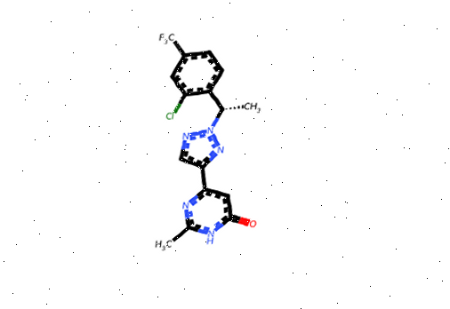 Cc1nc(-c2cnn([C@@H](C)c3ccc(C(F)(F)F)cc3Cl)n2)cc(=O)[nH]1